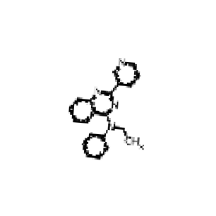 CCN(c1ccccc1)c1nc(-c2cccnc2)nc2ccccc12